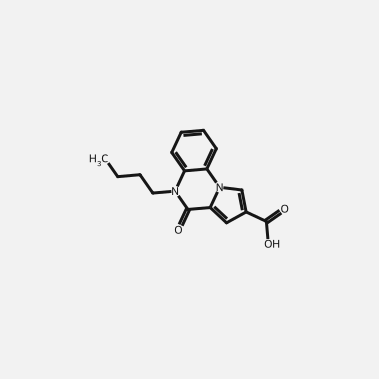 CCCCn1c(=O)c2cc(C(=O)O)cn2c2ccccc21